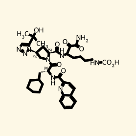 CC(C)(O)c1cnnn1[C@H]1C[C@@H](C(=O)NC(CCCCNC(=O)O)C(=O)C(N)=O)N(C(=O)[C@@H](CC2CCCCC2)NC(=O)c2ccc3ccccc3n2)C1